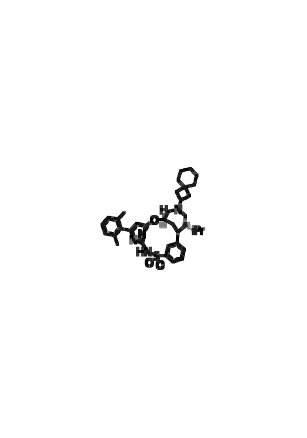 Cc1cccc(C)c1-c1cc2nc(n1)NS(=O)(=O)c1cccc(c1)C1C[C@@H](CN(C3CC4(CCCCC4)C3)C[C@@H]1C(C)C)O2